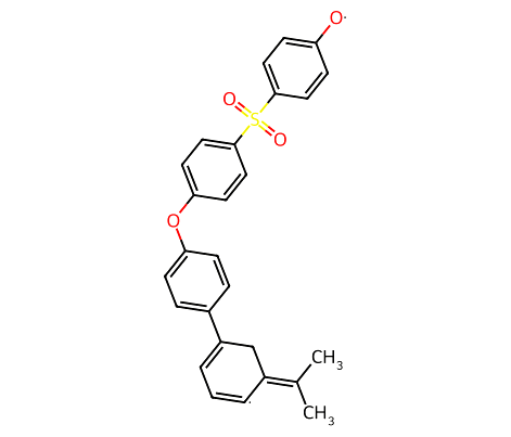 CC(C)=C1[C]=CC=C(c2ccc(Oc3ccc(S(=O)(=O)c4ccc([O])cc4)cc3)cc2)C1